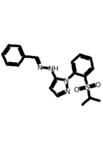 CC(C)S(=O)(=O)c1ccccc1-n1nccc1NN=Cc1ccccc1